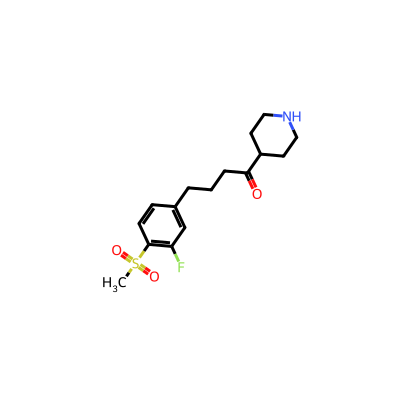 CS(=O)(=O)c1ccc(CCCC(=O)C2CCNCC2)cc1F